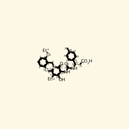 CCOc1cccc(Cl)c1Cn1c(C)c(CC)c(O)c(NC(=O)N[C@@H](CC(=O)O)c2ccc(C)cc2)c1=O